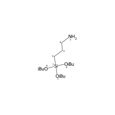 CC(C)CO[Si](CCCN)(OCC(C)C)OCC(C)C